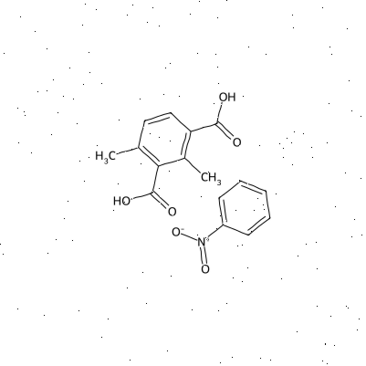 Cc1ccc(C(=O)O)c(C)c1C(=O)O.O=[N+]([O-])c1ccccc1